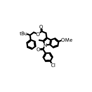 COc1ccc2c(c1)c(CC(=O)OCC(c1ccccc1)C(C)(C)C)c(C)n2C(=O)c1ccc(Cl)cc1